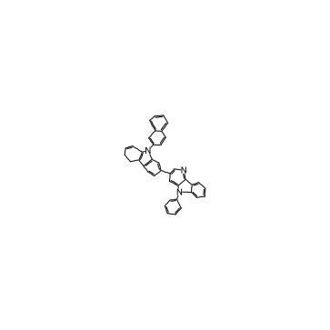 C1=Cc2c(c3ccc(-c4cnc5c6ccccc6n(-c6ccccc6)c5c4)cc3n2-c2ccc3ccccc3c2)CC1